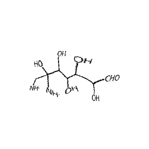 [NH]CC([NH])(O)C(O)C(O)C(O)C(O)C=O